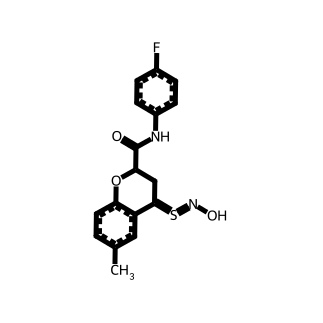 Cc1ccc2c(c1)C(=S=NO)CC(C(=O)Nc1ccc(F)cc1)O2